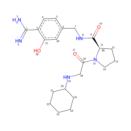 N=C(N)c1ccc(CNC(=O)[C@H]2CCCN2C(=O)CNC2CCCCC2)cc1O